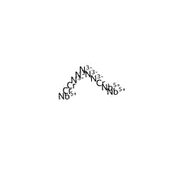 [Cr].[Cr].[Cr].[N-3].[N-3].[N-3].[N-3].[N-3].[Nb+5].[Nb+5].[Nb+5]